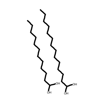 CCCCCCCCCCCC(O)O.CCCCCCCCCCCCCC(O)O